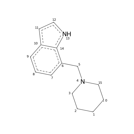 [CH]1CCCN(Cc2cccc3cc[nH]c23)C1